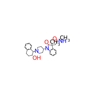 CNC(=O)CC1(C)C(=O)N(C2CCN([C@@H]3c4ccccc4CC[C@H]3O)CC2)c2ccccc21